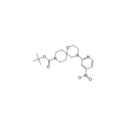 CC(C)(C)OC(=O)N1CCC2(CC1)CN(c1cc([N+](=O)[O-])ccn1)CCO2